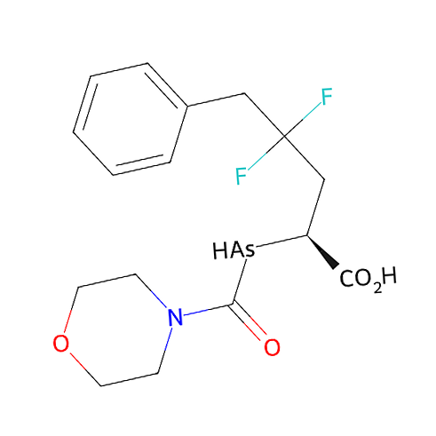 O=C(O)[C@H](CC(F)(F)Cc1ccccc1)[AsH]C(=O)N1CCOCC1